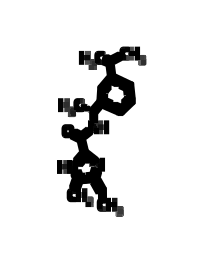 C=C(C)c1cccc([C@@H](C)NC(=O)c2n/c(=C/C)c(=C)[nH]2)c1